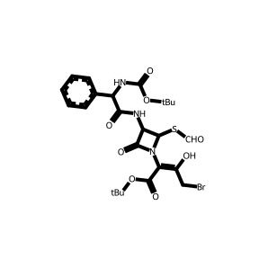 CC(C)(C)OC(=O)NC(C(=O)NC1C(=O)N(C(C(=O)OC(C)(C)C)=C(O)CBr)C1SC=O)c1ccccc1